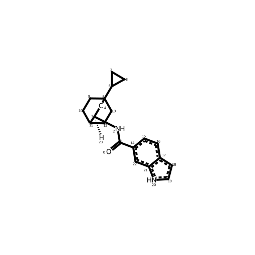 O=C(N[C@@H]1CC2(C3CC3)CCC1CC2)c1ccc2cc[nH]c2c1